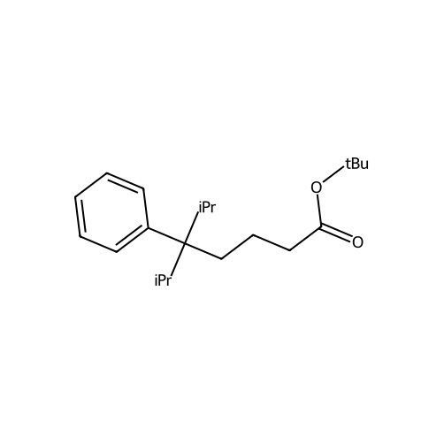 CC(C)C(CCCC(=O)OC(C)(C)C)(c1ccccc1)C(C)C